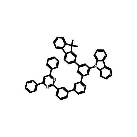 CC1(C)c2ccccc2-c2ccc(-c3cc(-c4cccc(-c5cccc(-c6nc(-c7ccccc7)cc(-c7ccccc7)n6)c5)c4)cc(-n4c5ccccc5c5ccccc54)c3)cc21